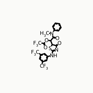 CN(C(=O)C(OC(=O)C(F)(F)F)C1SC(Nc2cc(C(F)(F)F)cc(C(F)(F)F)c2)=NC1=O)c1ccccc1